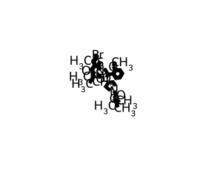 COc1ccccc1C(Cn1c(=O)n(C(C)(C)C)c(=O)c2c(C)c(Br)sc21)OC1CCN(C(=O)OC(C)(C)C)CC1